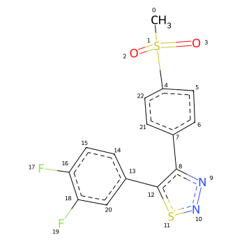 CS(=O)(=O)c1ccc(-c2nnsc2-c2ccc(F)c(F)c2)cc1